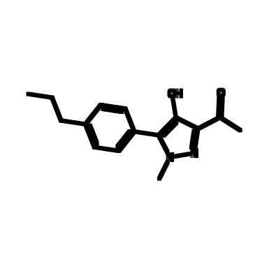 CCCc1ccc(-c2c(O)c(C(C)=O)nn2C)cc1